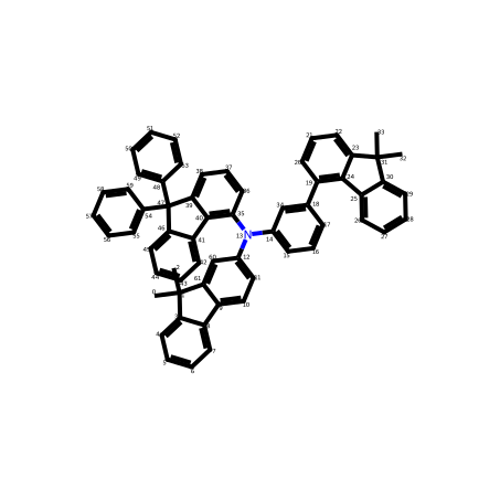 CC1(C)c2ccccc2-c2ccc(N(c3cccc(-c4cccc5c4-c4ccccc4C5(C)C)c3)c3cccc4c3-c3ccccc3C4(c3ccccc3)c3ccccc3)cc21